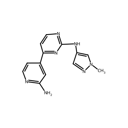 Cn1cc(Nc2nccc(-c3ccnc(N)c3)n2)cn1